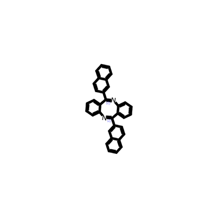 c1ccc2c(c1)/N=C(/c1ccc3ccccc3c1)c1ccccc1/N=C\2c1ccc2ccccc2c1